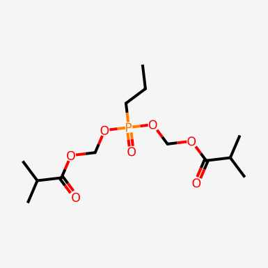 CCCP(=O)(OCOC(=O)C(C)C)OCOC(=O)C(C)C